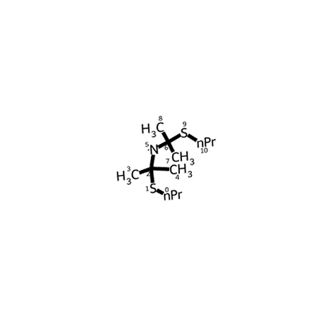 CCCSC(C)(C)[N]C(C)(C)SCCC